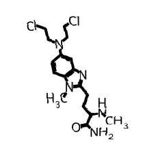 CNC(CCc1nc2cc(N(CCCl)CCCl)ccc2n1C)C(N)=O